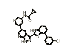 O=C(Nc1cncc(-c2cnc3[nH]nc(-c4nc5c(-c6cccc(Cl)c6)cccc5[nH]4)c3c2)c1)C1CC1